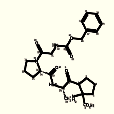 CCOC(=O)C1(N)CCCC1C(=O)[C@H](C)NC(=O)[C@@H]1CCCN1C(=O)CNC(=O)OCc1ccccc1